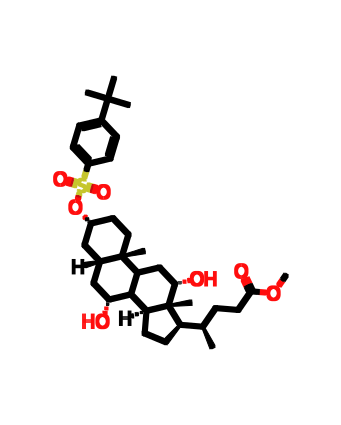 COC(=O)CC[C@@H](C)[C@H]1CC[C@H]2C3C(C[C@H](O)[C@]12C)[C@@]1(C)CC[C@@H](OS(=O)(=O)c2ccc(C(C)(C)C)cc2)C[C@H]1C[C@H]3O